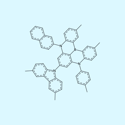 Cc1ccc(N2c3ccc(C)cc3B3c4cc(C)ccc4N(c4ccc5ccccc5c4)c4cc(-n5c6ccc(C)cc6c6cc(C)ccc65)cc2c43)cc1